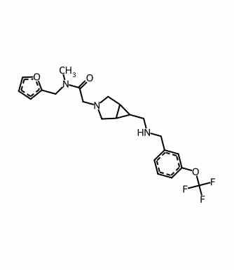 CN(Cc1ccco1)C(=O)CN1CC2C(CNCc3cccc(OC(F)(F)F)c3)C2C1